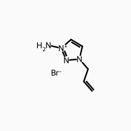 C=CCn1cc[n+](N)n1.[Br-]